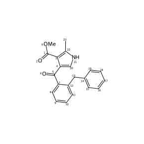 COC(=O)c1c(C(=O)c2ccccc2Cc2ccccc2)c[nH]c1C